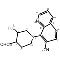 CC1CN(c2c(C#N)cnc3cccnc23)CCC1C=O